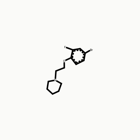 Fc1cc(Br)ccc1OCCN1CCCCC1